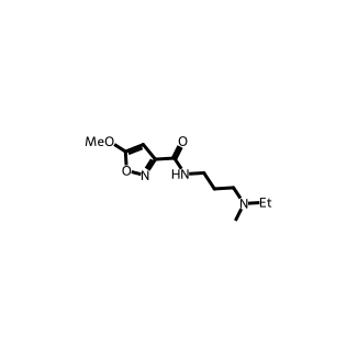 CCN(C)CCCNC(=O)c1cc(OC)on1